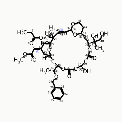 CCC(=O)O[C@H]1/C(=C/C(=O)OC)C[C@H]2C[C@H]([C@@H](C)OCc3ccccc3)OC(=O)C[C@H](O)CC(=O)O[C@H](C(C)(C)CO)C[C@@H]3CCO[C@H](/C=C/C(C)(C)[C@]1(O)O2)O3